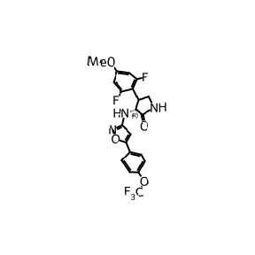 COc1cc(F)c(C2CNC(=O)[C@@H]2Nc2cc(-c3ccc(OC(F)(F)F)cc3)on2)c(F)c1